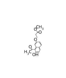 COC(=O)CCOc1ccc2ccc(O)c(C(C)=O)c2c1